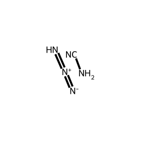 N#CN.[N-]=[N+]=N